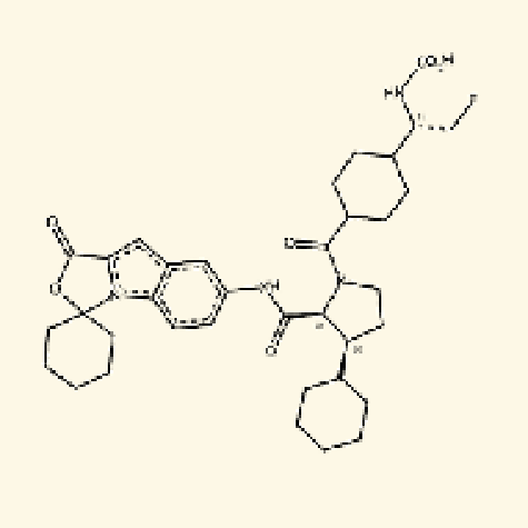 O=C(O)N[C@H](CF)C1CCC(C(=O)N2CC[C@@H](C3CCCCC3)[C@H]2C(=O)Nc2ccc3c(c2)cc2n3C3(CCCCC3)OC2=O)CC1